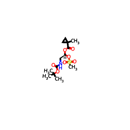 CC(C)(C)OC(=O)NC[C@@H](OC(=O)C1(C)CC1)OS(C)(=O)=O